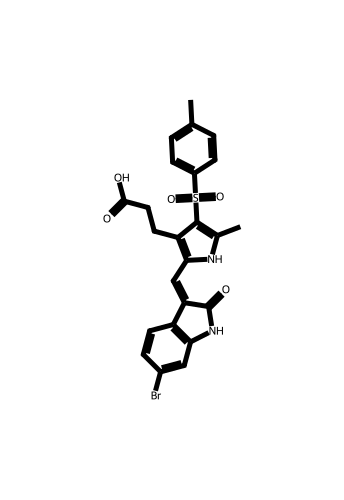 Cc1ccc(S(=O)(=O)c2c(C)[nH]c(/C=C3\C(=O)Nc4cc(Br)ccc43)c2CCC(=O)O)cc1